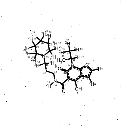 [2H]c1sc2c(c1[2H])c(O)c(C(=O)N([2H])CCC([2H])([2H])N1C([2H])([2H])C([2H])([2H])C([2H])([2H])C([2H])([2H])C1([2H])[2H])c(=O)n2C([2H])(C)C([2H])([2H])[2H]